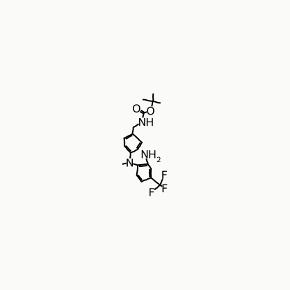 CN(c1ccc(CNC(=O)OC(C)(C)C)cc1)c1ccc(C(F)(F)F)cc1N